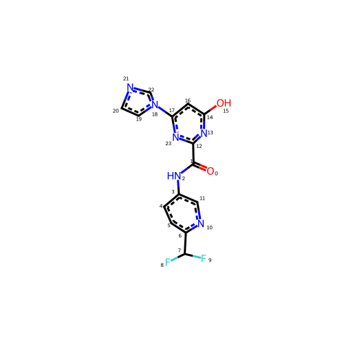 O=C(Nc1ccc(C(F)F)nc1)c1nc(O)cc(-n2ccnc2)n1